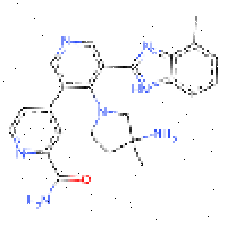 Cc1cccc2[nH]c(-c3cncc(-c4ccnc(C(N)=O)c4)c3N3CCC(C)(N)C3)nc12